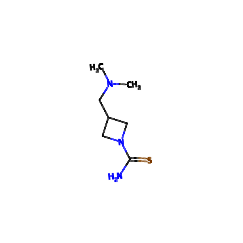 CN(C)CC1CN(C(N)=S)C1